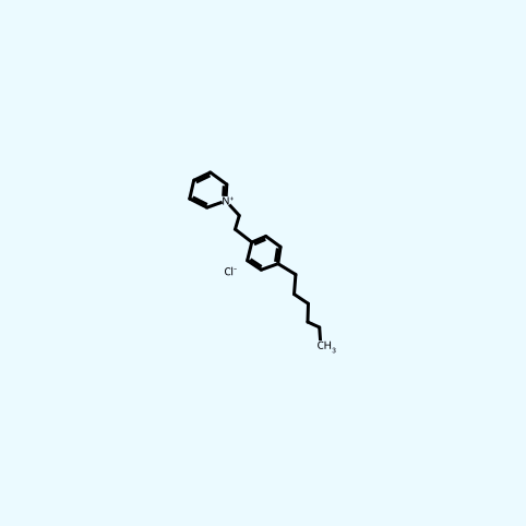 CCCCCCc1ccc(CC[n+]2ccccc2)cc1.[Cl-]